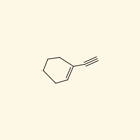 C#CC1=CC[CH]CC1